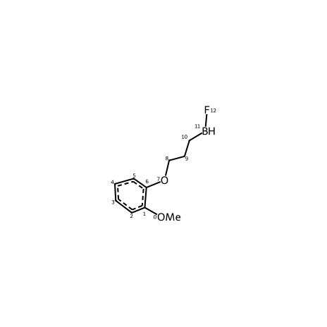 COc1ccccc1OCCCBF